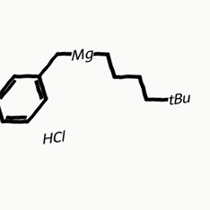 CC(C)(C)CCC[CH2][Mg][CH2]c1ccccc1.Cl